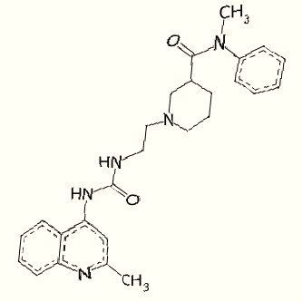 Cc1cc(NC(=O)NCCN2CCCC(C(=O)N(C)c3ccccc3)C2)c2ccccc2n1